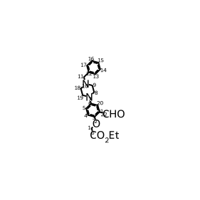 CCOC(=O)COc1ccc(N2CCN(Cc3ccccc3)CC2)cc1C=O